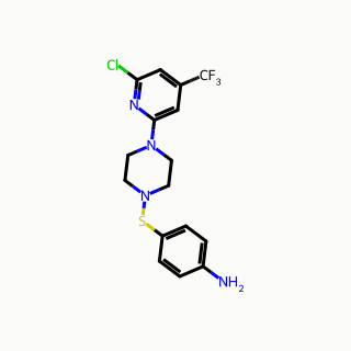 Nc1ccc(SN2CCN(c3cc(C(F)(F)F)cc(Cl)n3)CC2)cc1